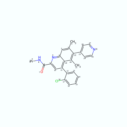 Cc1cc2nc(C(=O)NC(C)C)cc(-c3ccccc3Cl)c2c(C)c1-c1ccncc1